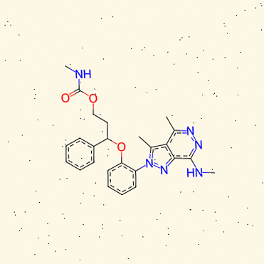 CNC(=O)OCCC(Oc1ccccc1-n1nc2c(NC)nnc(C)c2c1C)c1ccccc1